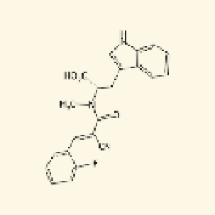 CN(C(=O)C(C#N)=Cc1ccccc1F)[C@@H](Cc1c[nH]c2ccccc12)C(=O)O